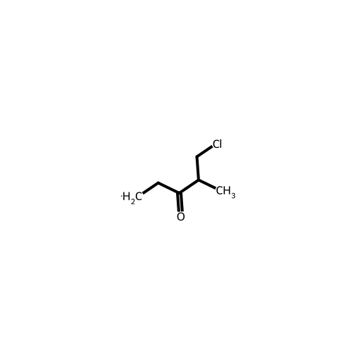 [CH2]CC(=O)C(C)CCl